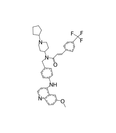 COc1ccc2nccc(Nc3ccc(CN(C(=O)C=Cc4ccc(C(F)(F)F)cc4)C4CCN(C5CCCC5)CC4)cc3)c2c1